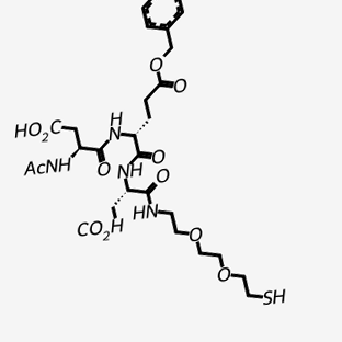 CC(=O)N[C@@H](CC(=O)O)C(=O)N[C@H](CCC(=O)OCc1ccccc1)C(=O)N[C@@H](CC(=O)O)C(=O)NCCOCCOCCS